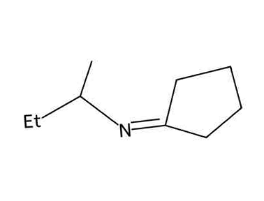 CCC(C)N=C1CCCC1